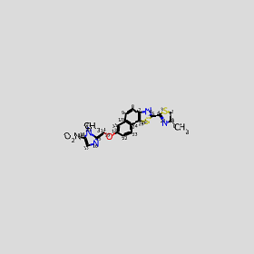 C[C@H]1CSC(c2nc3ccc4cc(OCc5ncc([N+](=O)[O-])n5C)ccc4c3s2)=N1